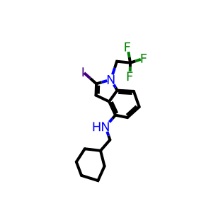 FC(F)(F)Cn1c(I)cc2c(NCC3CCCCC3)cccc21